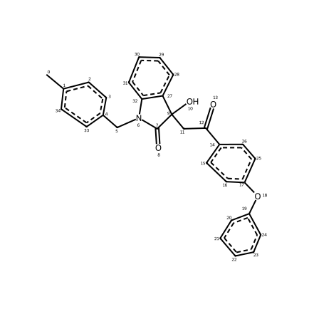 Cc1ccc(CN2C(=O)C(O)(CC(=O)c3ccc(Oc4ccccc4)cc3)c3ccccc32)cc1